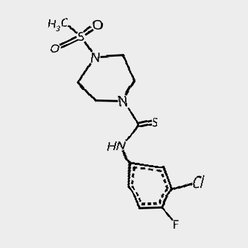 CS(=O)(=O)N1CCN(C(=S)Nc2ccc(F)c(Cl)c2)CC1